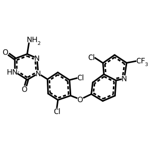 Nc1nn(-c2cc(Cl)c(Oc3ccc4nc(C(F)(F)F)cc(Cl)c4c3)c(Cl)c2)c(=O)[nH]c1=O